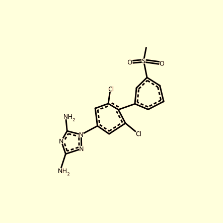 CS(=O)(=O)c1cccc(-c2c(Cl)cc(-n3nc(N)nc3N)cc2Cl)c1